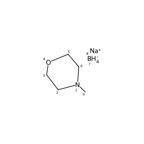 CN1CCOCC1.[BH4-].[Na+]